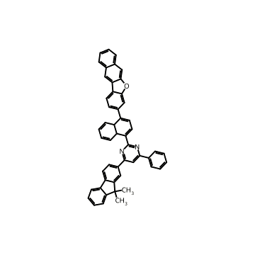 CC1(C)c2ccccc2-c2ccc(-c3cc(-c4ccccc4)nc(C4=CC=C(c5ccc6c(c5)oc5cc7ccccc7cc56)C5C=CC=CC45)n3)cc21